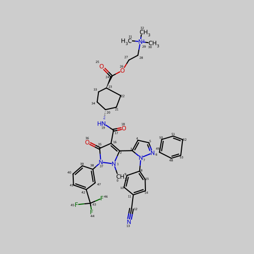 Cn1c(-c2ccnn2-c2ccc(C#N)cc2)c(C(=O)N[C@H]2CC[C@H](C(=O)OCC[N+](C)(C)C)CC2)c(=O)n1-c1cccc(C(F)(F)F)c1.c1ccccc1